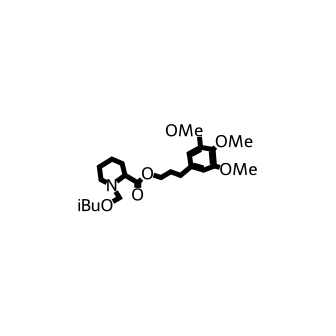 COc1cc(CCCOC(=O)C2CCCCN2COCC(C)C)cc(OC)c1OC